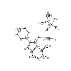 CC#CCn1c(N2CCNCC2)nc2ncn(C)c(=O)c21.O=C(O)C(F)(F)F